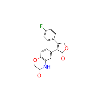 O=C1COc2ccc(C3=C(c4ccc(F)cc4)COC3=O)cc2N1